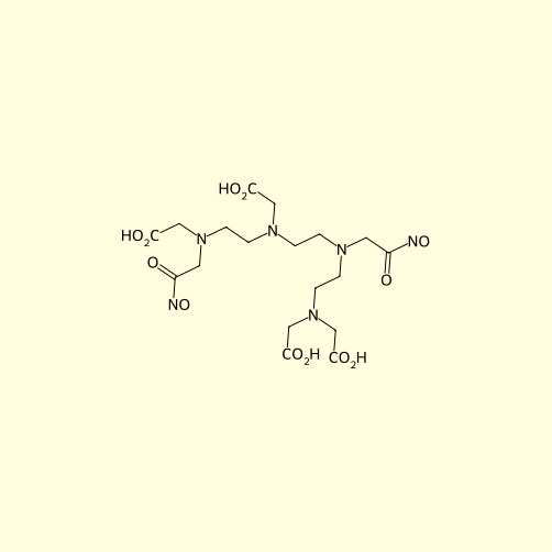 O=NC(=O)CN(CCN(CCN(CC(=O)O)CC(=O)N=O)CC(=O)O)CCN(CC(=O)O)CC(=O)O